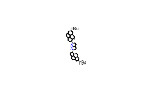 CCCCc1cc2ccc3ccc(-c4ccc5ccc(-c6ccc7ccc8cc(CCCC)cc9ccc6c7c89)nc5n4)c4ccc(c1)c2c34